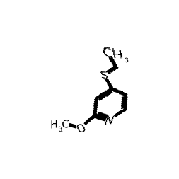 CCSc1ccnc(OC)c1